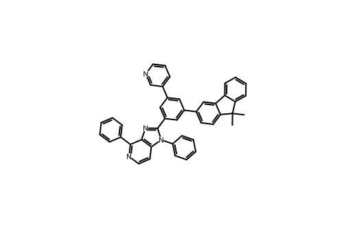 CC1(C)c2ccccc2-c2cc(-c3cc(-c4cccnc4)cc(-c4nc5c(-c6ccccc6)nccc5n4-c4ccccc4)c3)ccc21